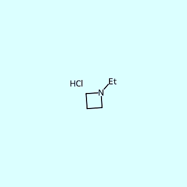 CCN1CCC1.Cl